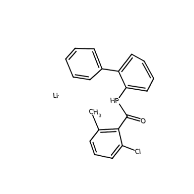 Cc1cccc(Cl)c1C(=O)Pc1ccccc1-c1ccccc1.[Li]